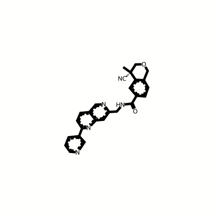 C[C@@]1(C#N)COCc2ccc(C(=O)NCc3cc4nc(-c5cccnc5)ccc4cn3)cc21